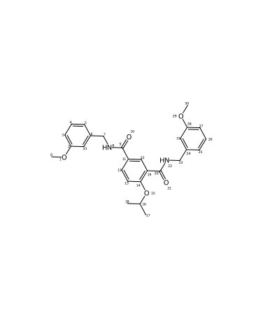 COc1cccc(CNC(=O)c2ccc(OC(C)C)c(C(=O)NCc3cccc(OC)c3)c2)c1